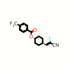 N#C/C(F)=C/[C@H]1CC[C@H](OC(=O)c2ccc(C(F)(F)F)cc2)CC1